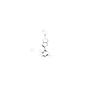 CCc1cnc(OC)c(C2=CC3CN(C(=O)OC(C)(C)C)CC3C2)n1